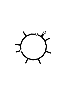 CC1CC(C)CC(C)C(=O)OCC(C)CC(C)N(C)CC(C)C1